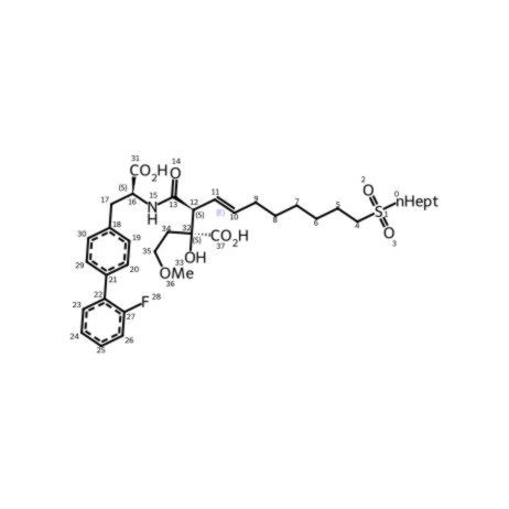 CCCCCCCS(=O)(=O)CCCCCC/C=C/[C@H](C(=O)N[C@@H](Cc1ccc(-c2ccccc2F)cc1)C(=O)O)[C@@](O)(CCOC)C(=O)O